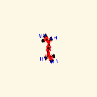 CC1(C)CC(OC(=O)C(CC(=O)OC2CC(C)(C)NC(C)(C)C2)C(CC(=O)OCC(C)(C)C2OCC3(CO2)COC(C(C)(C)COC(=O)CC(C(=O)OC2CC(C)(C)NC(C)(C)C2)C(CC(=O)OC2CC(C)(C)NC(C)(C)C2)C(=O)OC2CC(C)(C)CC(C)(C)C2)OC3)C(=O)OC2CC(C)(C)NC(C)(C)C2)CC(C)(C)C1